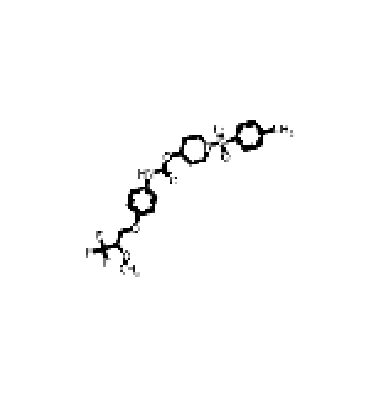 COC(COc1ccc(NC(=O)OC2CCN(S(=O)(=O)c3ccc(C)cc3)CC2)cc1)C(F)(F)F